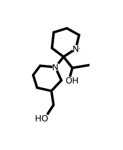 CC(O)C1(N2CCCC(CO)C2)CCCC[N]1